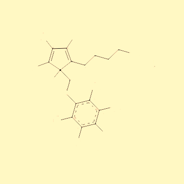 CCCCCC1=C(C)C(C)=C(C)[C]1([Ti+3])C[SiH2]c1c(C)c(C)c(C)c(C)c1C.[Cl-].[Cl-].[Cl-]